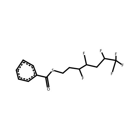 O=C(SCCC(F)C(F)CC(F)C(F)(F)F)c1ccccc1